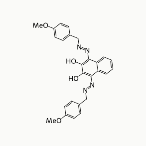 COc1ccc(CN=Nc2c(O)c(O)c(N=NCc3ccc(OC)cc3)c3ccccc23)cc1